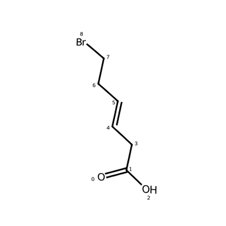 O=C(O)CC=CCCBr